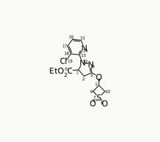 CCOC(=O)C1CC(OC2CS(=O)(=O)C2)=NN1c1ncccc1Cl